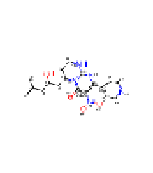 CC(C)CC(O)CC1CCNc2nc(-c3ccncc3)c([N+](=O)[O-])c(=O)n21